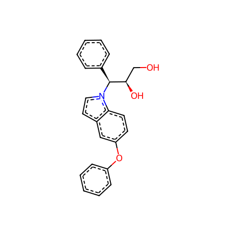 OC[C@@H](O)[C@H](c1ccccc1)n1ccc2cc(Oc3ccccc3)ccc21